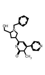 CC1C(=O)N=C(C2CC(CO)N(Cc3ccccc3)C2)C=C1c1ccncc1